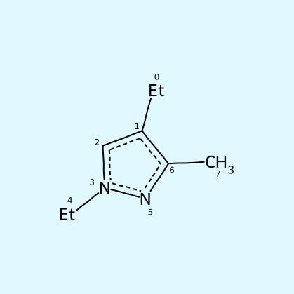 CCc1cn(CC)nc1C